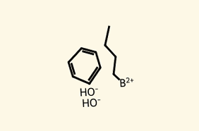 [B+2]CCCC.[OH-].[OH-].c1ccccc1